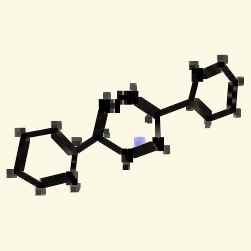 N=C(/N=N\C(=N)c1ccccn1)c1ccccn1